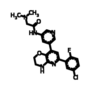 CN(C)CC(=O)Nc1cncc(-c2cc(-c3cc(Cl)ccc3F)nc3c2OCCN3)c1